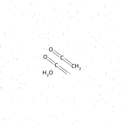 C=C=O.O.[C]=C=O